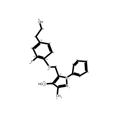 Cc1nn(-c2ccccc2)c(COc2ccc(CCO)cc2F)c1C(=O)O